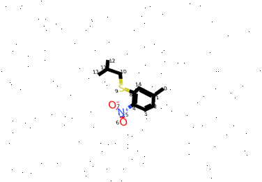 Cc1ccc([N+](=O)[O-])c(SCC(C)C)c1